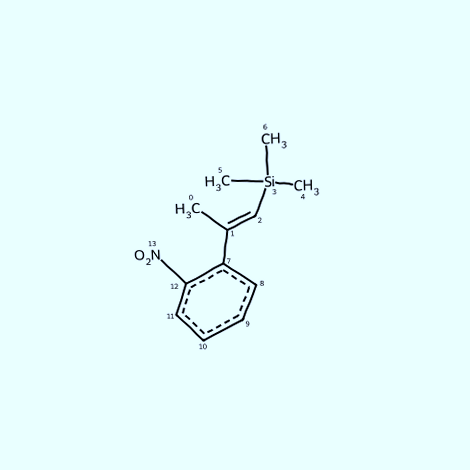 C/C(=C\[Si](C)(C)C)c1ccccc1[N+](=O)[O-]